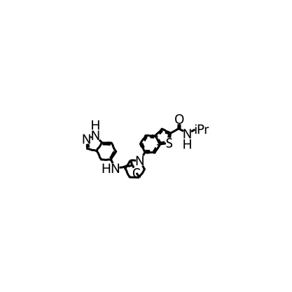 CC(C)NC(=O)c1cc2ccc(N3CC4CCC3C(NC3=CC=C5NN=CC5C3)C4)cc2s1